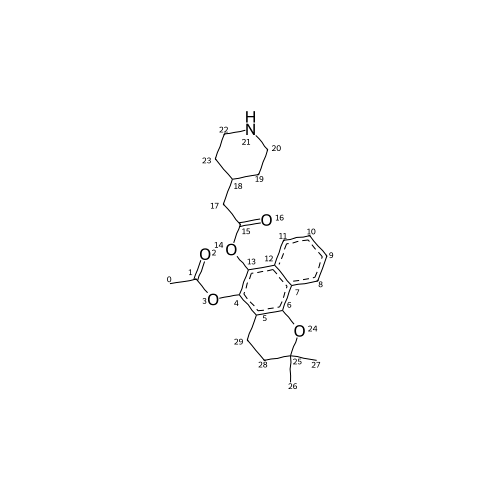 CC(=O)Oc1c2c(c3ccccc3c1OC(=O)CC1CCNCC1)OC(C)(C)CC2